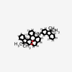 CC1(C)c2ccccc2-c2c(-c3ccccc3-c3c(Nc4ccc5c(c4)C4C=CC=CC4C5(C)C)ccc4ccccc34)cccc21